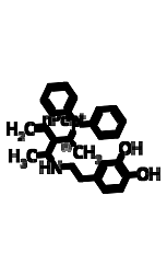 C=C(CCCCC)C(C(C)NCCc1ccc(O)c(O)c1)[C@H](C)P(c1ccccc1)c1ccccc1